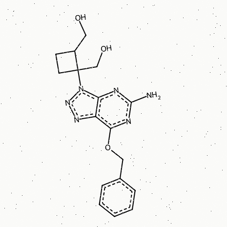 Nc1nc(OCc2ccccc2)c2nnn(C3(CO)CCC3CO)c2n1